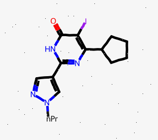 CCCn1cc(-c2nc(C3CCCC3)c(I)c(=O)[nH]2)cn1